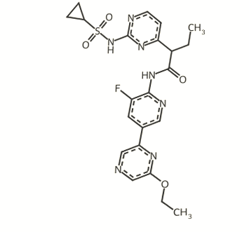 CCOc1cncc(-c2cnc(NC(=O)C(CC)c3ccnc(NS(=O)(=O)C4CC4)n3)c(F)c2)n1